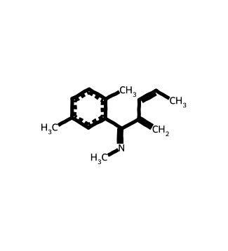 C=C(/C=C\C)/C(=N/C)c1cc(C)ccc1C